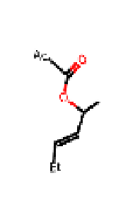 CCC=CC(C)OC(=O)C(C)=O